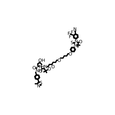 Cc1ncsc1-c1ccc(CNC(=O)[C@@H]2C[C@@H](O)CN2C(=O)C(NC(=O)CC(=O)CCCOCCCCCOc2ccc(N3C(=S)N(c4ccc(C#N)c(C(F)(F)F)c4)C(=O)C3(C)C)cc2)C(C)(C)C)cc1